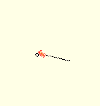 CCCCCCCCCCCCCCCCCCOS(=O)(=O)OS(=O)(=O)Oc1ccccc1